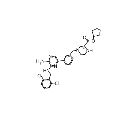 Nc1ncc(-c2cccc(CN3CCN[C@H](C(=O)OC4CCCC4)C3)c2)nc1NCc1c(Cl)cccc1Cl